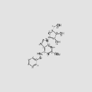 CCCCc1nc(NSc2ccccc2)c2ncn([C@@H]3O[C@H](CO)[C@@H](O)[C@H]3O)c2n1